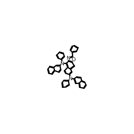 c1ccc(-c2nc3c(N(c4ccccc4)c4ccc5ccccc5c4)c4ccc(N(c5ccccc5)c5ccc6ccccc6c5)cc4cc3o2)cc1